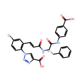 O=C(/C=C/c1cc(Cl)ccc1-n1cc(C(=O)O)nn1)N[C@@H](Cc1ccccc1)C(=O)Nc1ccc(C(=O)O)cc1